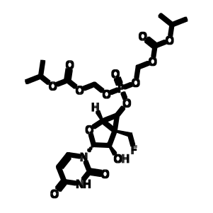 CC(C)OC(=O)OCOP(=O)(OCOC(=O)OC(C)C)OC1[C@H]2O[C@@H](n3ccc(=O)[nH]c3=O)[C@H](O)[C@@]12CF